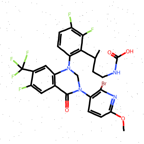 COc1ccc(N2CN(c3ccc(F)c(F)c3C(C)CCNC(=O)O)c3cc(C(F)(F)F)c(F)cc3C2=O)c(Br)n1